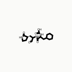 O=CC(C[C@@H]1CCNC1=O)NC(=O)C(CC1CCCCC1)NC(=O)O